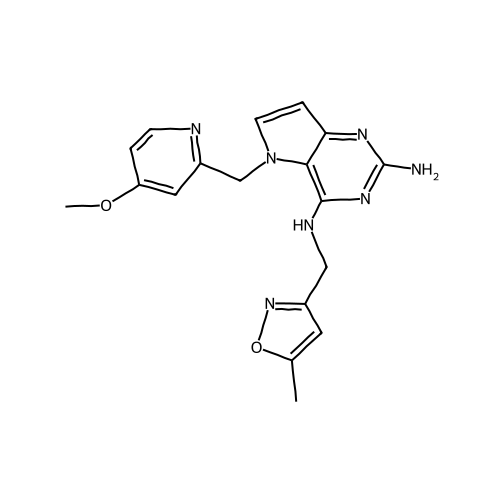 COc1ccnc(Cn2ccc3nc(N)nc(NCc4cc(C)on4)c32)c1